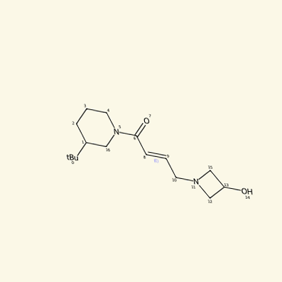 CC(C)(C)C1CCCN(C(=O)/C=C/CN2CC(O)C2)C1